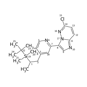 CC(Cc1ccnc(-c2cnc3ccc(Cl)nn23)c1)[Si](C)(C)C(C)(C)C